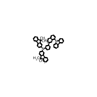 CC1(C)c2ccccc2-c2cc(N(c3cccc(-c4ccc5cccc(-n6c7ccccc7c7ccccc76)c5c4)c3)c3ccc4c(c3)C(C)(C)c3ccccc3-4)ccc21